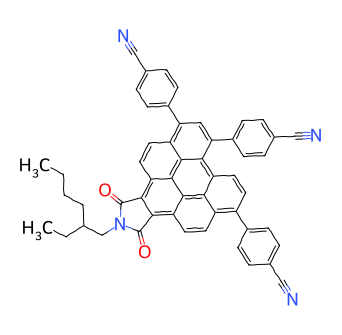 CCCCC(CC)Cn1c(=O)c2c3ccc4c(-c5ccc(C#N)cc5)ccc5c6c(-c7ccc(C#N)cc7)cc(-c7ccc(C#N)cc7)c7ccc(c2c1=O)c(c76)c3c45